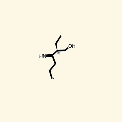 [CH2]CCC(=N)[C@@H](CC)CO